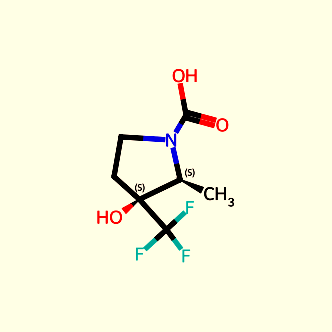 C[C@@H]1N(C(=O)O)CC[C@@]1(O)C(F)(F)F